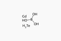 OB(O)O.[Gd].[TeH2]